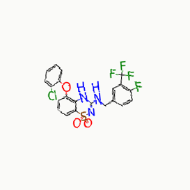 O=S1(=O)N=C(NCc2ccc(F)c(C(F)(F)F)c2)Nc2c(Oc3ccccc3Cl)cccc21